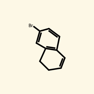 Brc1ccc2c(c1)CCC=C2